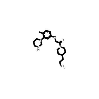 Cc1ccc(OCC(=O)N2CCC(CCN)CC2)cc1N1CCCNC1